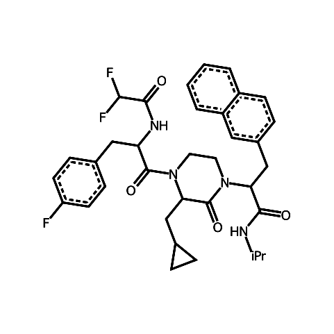 CC(C)NC(=O)C(Cc1ccc2ccccc2c1)N1CCN(C(=O)C(Cc2ccc(F)cc2)NC(=O)C(F)F)C(CC2CC2)C1=O